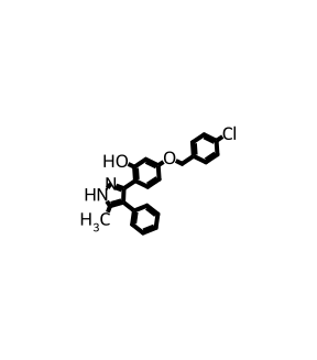 Cc1[nH]nc(-c2ccc(OCc3ccc(Cl)cc3)cc2O)c1-c1ccccc1